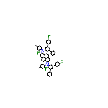 Cc1ccc(N(c2cc(-c3ccccc3)cc(-c3ccc(F)cc3)c2)c2ccc3ccc4c(N(c5cc(-c6ccccc6)cc(-c6ccc(F)cc6)c5)c5ccc(C)cc5F)ccc5ccc2c3c54)c(F)c1